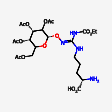 CCOC(=O)N/C(=N\O[C@@H]1OC(COC(C)=O)[C@H](OC(C)=O)[C@H](OC(C)=O)C1OC(C)=O)NCCC[C@H](N)C(=O)O